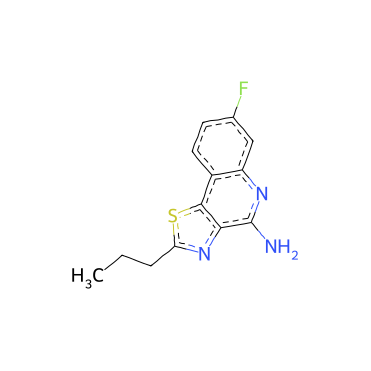 CCCc1nc2c(N)nc3cc(F)ccc3c2s1